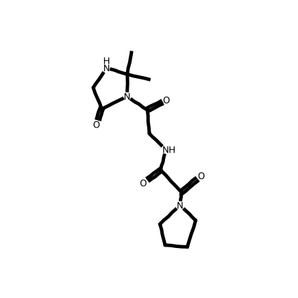 CC1(C)NCC(=O)N1C(=O)CNC(=O)C(=O)N1CCCC1